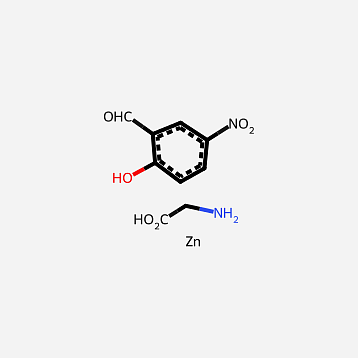 NCC(=O)O.O=Cc1cc([N+](=O)[O-])ccc1O.[Zn]